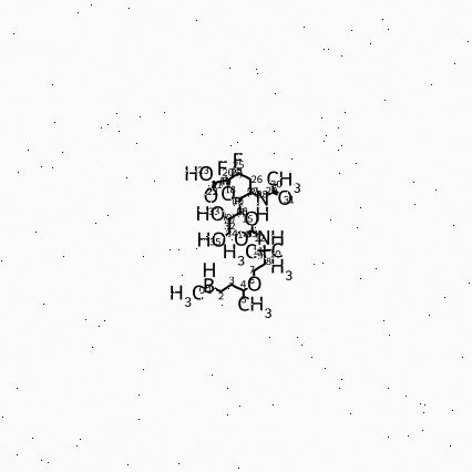 CBCCC(C)OCCC(C)(C)NC(=O)O[C@@H]([C@@H]1O[C@@](F)(C(=O)O)[C@@H](F)C[C@H]1NC(C)=O)[C@H](O)CO